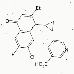 CCC1=CC(=O)c2cc(F)c(Cl)cc2C1C1CC1.O=C(O)c1cccnc1